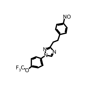 O=Nc1ccc(CCc2ncn(-c3ccc(OC(F)(F)F)cc3)n2)cc1